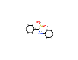 O=S(O)C(Nc1ccccc1)c1ccccc1